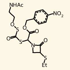 CCSC1CN(C(SC(=O)SOCCNC(C)=O)C(=O)OCc2ccc([N+](=O)[O-])cc2)C1=O